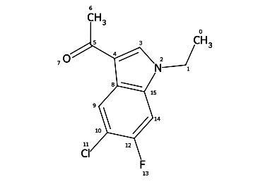 CCn1cc(C(C)=O)c2cc(Cl)c(F)cc21